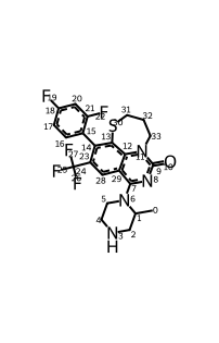 CC1CNCCN1c1nc(=O)n2c3c(c(-c4ccc(F)cc4F)c(C(F)(F)F)cc13)SCCC2